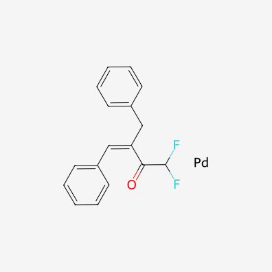 O=C(C(=Cc1ccccc1)Cc1ccccc1)C(F)F.[Pd]